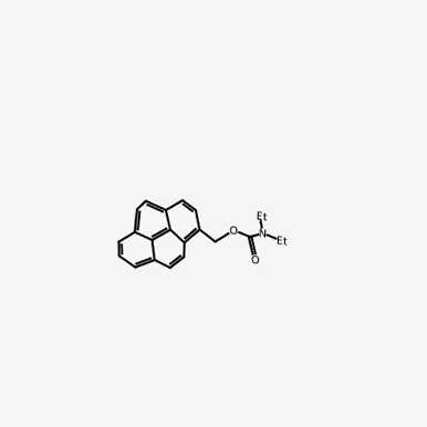 CCN(CC)C(=O)OCc1ccc2ccc3cccc4ccc1c2c34